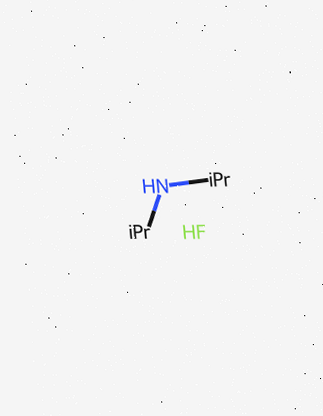 CC(C)NC(C)C.F